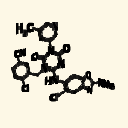 CNc1nc2cc(Cl)c(Nc3nc(=O)n(-c4cncc(C)c4)c(=O)n3Cc3cc(C#N)ccc3Cl)cc2o1